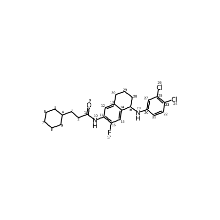 O=C(CCC1CCCCC1)Nc1cc2c(cc1F)C(Nc1ccc(Cl)c(Cl)c1)CCC2